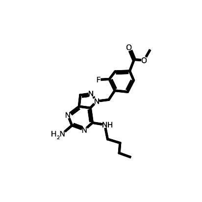 CCCCNc1nc(N)nc2cnn(Cc3ccc(C(=O)OC)cc3F)c12